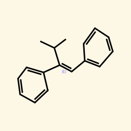 CC(C)/C(=C\c1ccccc1)c1ccccc1